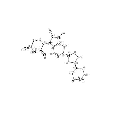 Cn1c(=O)n(C2CCC(=O)NC2=O)c2ccc(N3CC[C@@H](C4CCNCC4)C3)cc21